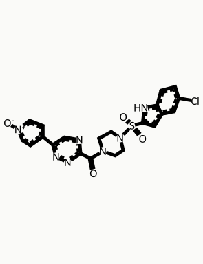 O=C(c1ncc(-c2cc[n+]([O-])cc2)nn1)N1CCN(S(=O)(=O)c2cc3cc(Cl)ccc3[nH]2)CC1